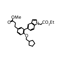 CCOC(=O)Cn1ccc2cc(-c3cc(CCC(=O)OC)ccc3OCC3CCCC3)ccc21